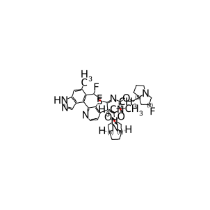 Cc1cc2[nH]ncc2c(-c2nccc3c2sc2nc(OC[C@@]45CCCN4C[C@H](F)C5)nc(N4C[C@H]5CC[C@@H](C4)N5C(=O)OC(C)(C)C)c23)c1C(F)F